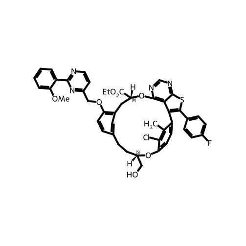 CCOC(=O)[C@H]1Cc2cc(ccc2OCc2ccnc(-c3ccccc3OC)n2)CC[C@@H](CO)Oc2ccc(c(C)c2Cl)-c2c(-c3ccc(F)cc3)sc3ncnc(c23)O1